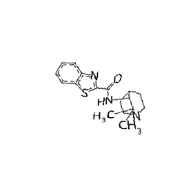 CC1(C)C(NC(=O)c2nc3ccccc3s2)C2CCN1CC2